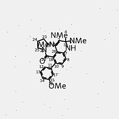 CNC1=CC(NC)(NC)Nc2ccc(-c3cccc(OC)c3)c(C(=O)N3CCCC3)c21